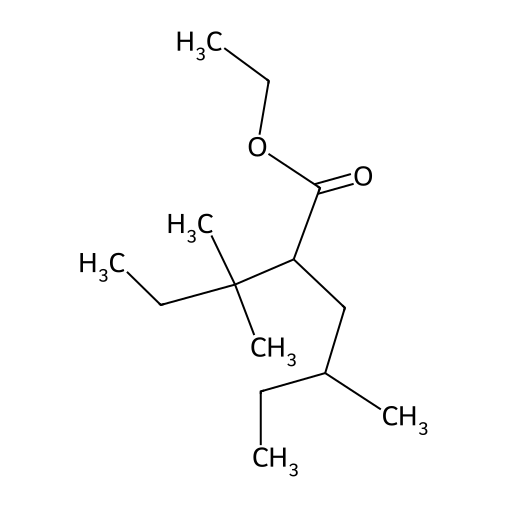 CCOC(=O)C(CC(C)CC)C(C)(C)CC